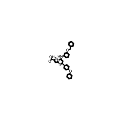 O=C(O)c1cc2nc(-c3ccc(Oc4ccccc4)cc3)cc(Nc3cccc(OCc4ccccc4)c3)n2n1